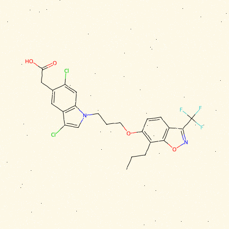 CCCc1c(OCCCn2cc(Cl)c3cc(CC(=O)O)c(Cl)cc32)ccc2c(C(F)(F)F)noc12